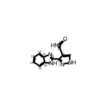 O=C1NC1c1c[nH]nc1-c1nc2ccccc2[nH]1